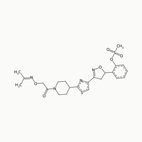 CC(C)=NOCC(=O)N1CCC(c2nc(C3=NOC(c4ccccc4OS(C)(=O)=O)C3)cs2)CC1